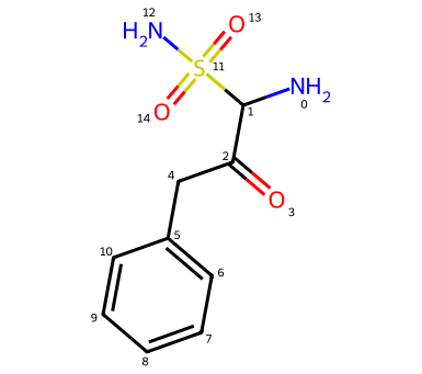 NC(C(=O)Cc1ccccc1)S(N)(=O)=O